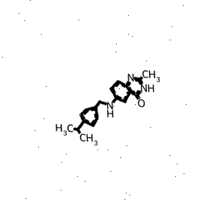 Cc1nc2ccc(NCc3ccc(C(C)C)cc3)cc2c(=O)[nH]1